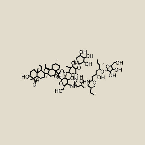 C/C=C1\C2C[C@H](C)CCC2(C(=O)O[C@@H]2O[C@H](CO)C(NC(=O)C[C@@H](O)C[C@H](NC(=O)C[C@@H](O)C[C@H](O[C@@H]3O[C@@H](CO)C(O)C3O)[C@@H](C)CC)[C@@H](C)CC)C(O)C2O[C@@H]2O[C@H](C)C(O[C@@H]3OC[C@@H](O)C(O)C3O)C(O)C2C)[C@H](O)C[C@@]1(C)[C@]1(C)CC[C@H]2C(C)(C=O)C(O)CCC2(C)C1CC